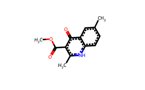 COC(=O)c1c(C)[nH]c2ccc(C)cc2c1=O